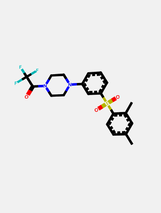 Cc1ccc(S(=O)(=O)c2cccc(N3CCN(C(=O)C(F)(F)F)CC3)c2)c(C)c1